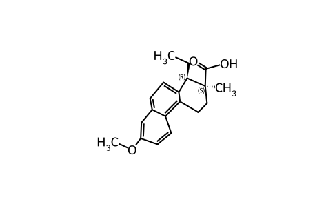 CC[C@@H]1c2ccc3cc(OC)ccc3c2CC[C@]1(C)C(=O)O